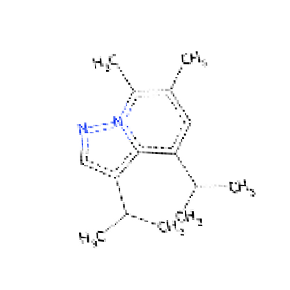 Cc1cc(C(C)C)c2c(C(C)C)cnn2c1C